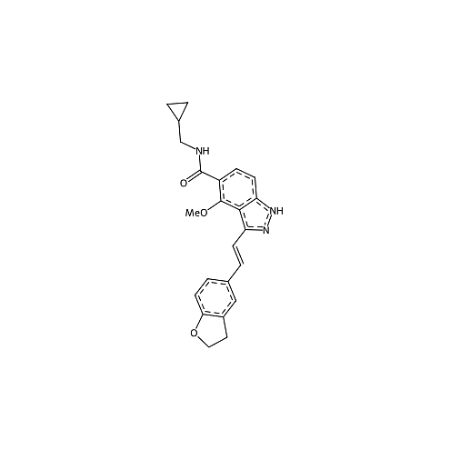 COc1c(C(=O)NCC2CC2)ccc2[nH]nc(/C=C/c3ccc4c(c3)CCO4)c12